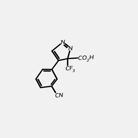 N#Cc1cccc(C2=CN=NC2(C(=O)O)C(F)(F)F)c1